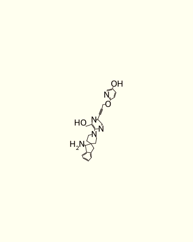 N[C@@H]1c2ccccc2CC12CCN(c1ncc(C#CCOc3ccc(O)cn3)nc1CO)CC2